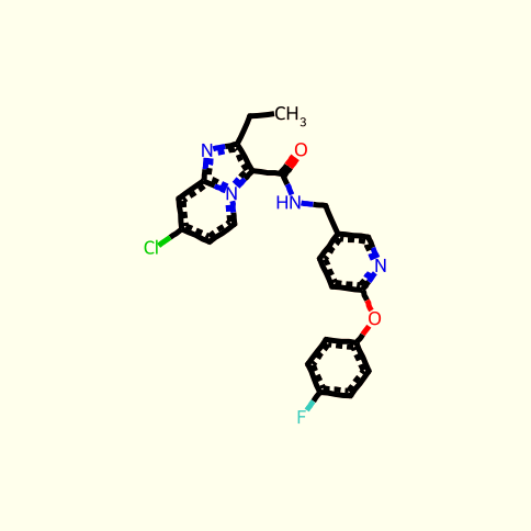 CCc1nc2cc(Cl)ccn2c1C(=O)NCc1ccc(Oc2ccc(F)cc2)nc1